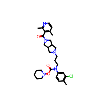 Cc1ccc(N(CCCN2CC3CN(C(=O)c4c(C)ccnc4C)CC3C2)C(=O)ON2CCCCC2)cc1Cl